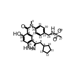 CN(C(=O)c1cc2c(CC3CCCC3)n[nH]c2cc1O)c1ccc(CNS(C)(=O)=O)cc1